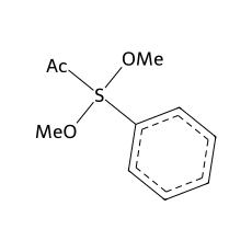 COS(OC)(C(C)=O)c1ccccc1